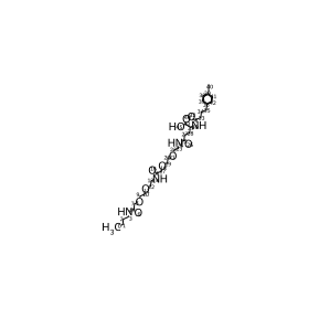 CCCCNC(=O)COCCOCCNC(=O)COCCOCCNC(=O)CC[C@H](NC(=O)CCCc1ccc(I)cc1)C(=O)O